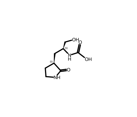 O=C(O)N[C@H](CO)C[C@@H]1CCNC1=O